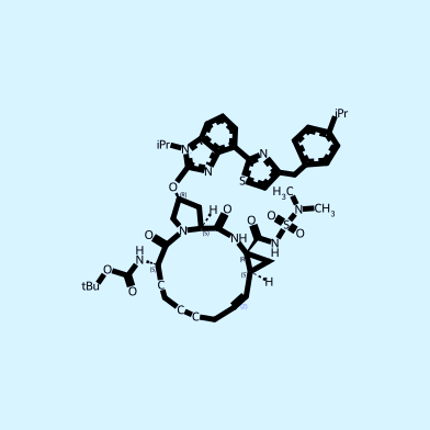 CC(C)c1ccc(Cc2csc(-c3cccc4c3nc(O[C@@H]3C[C@H]5C(=O)N[C@]6(C(=O)NS(=O)(=O)N(C)C)C[C@H]6/C=C\CCCCC[C@H](NC(=O)OC(C)(C)C)C(=O)N5C3)n4C(C)C)n2)cc1